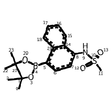 CC1(C)OB(c2ccc(NS(C)(=O)=O)c3ccccc23)OC1(C)C